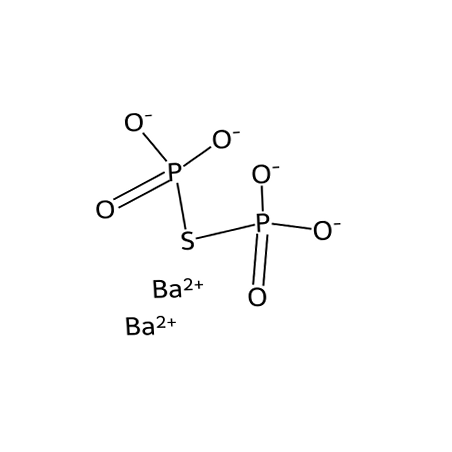 O=P([O-])([O-])SP(=O)([O-])[O-].[Ba+2].[Ba+2]